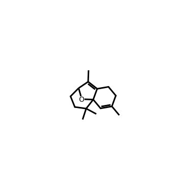 CC1=CC23OC(CCC2(C)C)C(C)=C3CC1